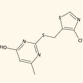 Cc1cc(O)nc(SCc2scnc2Cl)n1